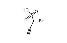 C#CCS(=O)(=O)O.[KH]